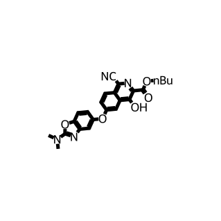 CCCCOC(=O)c1nc(C#N)c2ccc(Oc3ccc4oc(N(C)C)nc4c3)cc2c1O